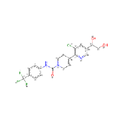 O=C(Nc1ccc(C(F)(F)F)cc1)N1CC=C(c2ncc(C(O)CO)cc2Cl)CC1